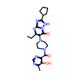 CCc1nc2nc(C3CCCC3)[nH]n2c(=O)c1N1CCN(C(=O)c2ncnc(C)c2O)CC1